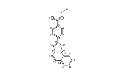 CCOC(=O)c1ccc(C2=Cc3ccc4ccccc4c3C2)cc1